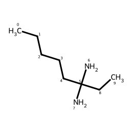 CCCCCC(N)(N)CC